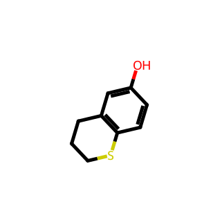 Oc1ccc2c(c1)CCCS2